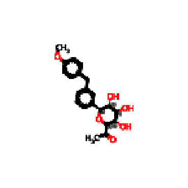 COc1ccc(Cc2cccc([C@@H]3O[C@H](C(C)=O)[C@@H](O)[C@H](O)[C@H]3O)c2)cc1